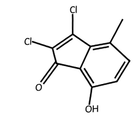 Cc1ccc(O)c2c1C(Cl)=C(Cl)C2=O